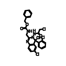 O=C(CCl)NN1C(CNC(=O)OCc2ccccc2)=Nc2ccc(Cl)cc2C1(O)c1ccccc1Cl